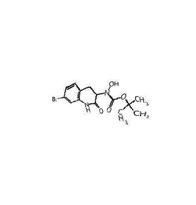 CC(C)(C)OC(=O)N(O)C1Cc2ccc(Br)cc2NC1=O